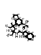 CC(CF)(CC(O)(CF)NCc1cc2ccncc2[nH]1)c1cc(S(C)(=O)=O)cc2c1OCC2